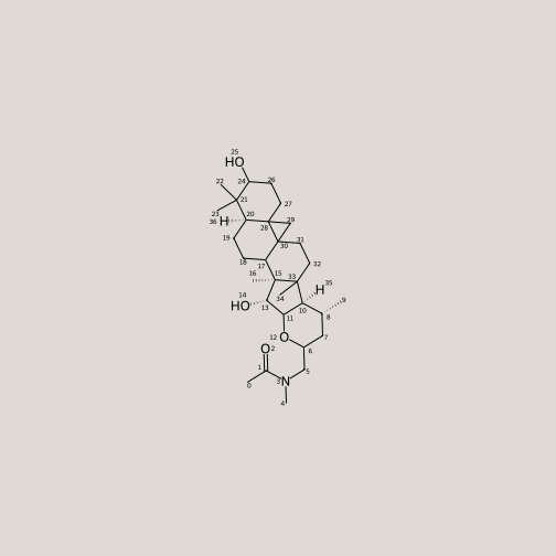 CC(=O)N(C)CC1C[C@@H](C)[C@H]2C(O1)[C@H](O)[C@@]1(C)C3CC[C@H]4C(C)(C)C(O)CCC45CC35CCC21C